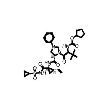 C=C[C@@H]1C[C@]1(NC(=O)[C@@H]1CN(c2ccccc2)CN1C(=O)C(NC(=O)OC1CCCC1)C(C)(C)C)C(=O)NS(=O)(=O)C1CC1